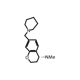 CN[C@@H]1CCOc2cc(CN3CCCCC3)ccc21